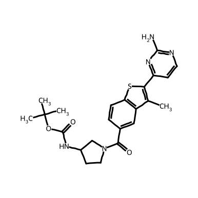 Cc1c(-c2ccnc(N)n2)sc2ccc(C(=O)N3CCC(NC(=O)OC(C)(C)C)C3)cc12